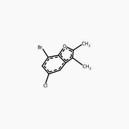 Cc1oc2c(Br)cc(Cl)cc2c1C